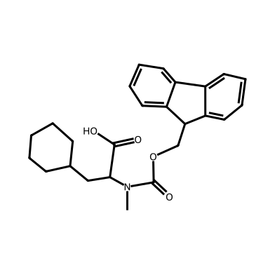 CN(C(=O)OCC1c2ccccc2-c2ccccc21)C(CC1CCCCC1)C(=O)O